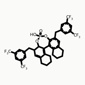 O=P1(O)Oc2c(Cc3cc(C(F)(F)F)cc(C(F)(F)F)c3)cc3c(c2C2=C4CCCCC4=CC(Cc4cc(C(F)(F)F)cc(C(F)(F)F)c4)C2O1)CCCC3